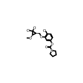 CO[C@@H]1[C@H](COc2cc(OC(=O)N3CCCC3)ccc2Cl)C1(Cl)Cl